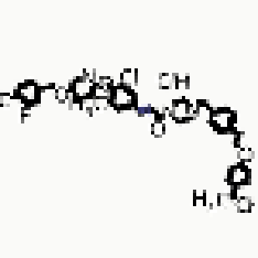 Cc1ccc(COc2ccc(Oc3c(C)cc(/C=C/C(=O)N4CCN(Cc5ccc(CCOc6ccc(C(C)C)cc6)cc5)CC4)cc3Cl)nc2)cc1F.Cl